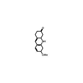 COC1C=CC2=C(C1)NC1CC(=O)CCC1=C2